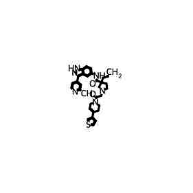 C=CCC1(C(=O)Nc2ccc3[nH]nc(-c4ccnc(C)c4)c3c2)CCN(CC(=O)N2CC=C(c3ccsc3)CC2)C1